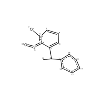 CC(C1=CC=C[NH+]([O-])C1=S=O)c1ccccc1